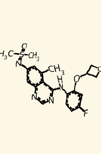 Cc1cc(N=S(C)(C)=O)cc2ncnc(Nc3ccc(F)cc3OC3COC3)c12